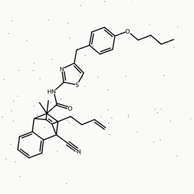 C=CCCC1=C(C)C2c3ccccc3C1(C#N)CC2(C)C(=O)Nc1nc(Cc2ccc(OCCCC)cc2)cs1